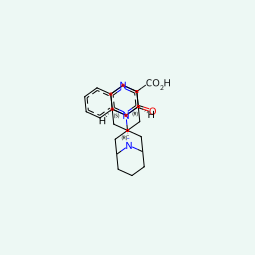 O=C(O)c1nc2ccccc2n(C2CC3CCCC(C2)N3[C@H]2C[C@@H]3CCC[C@@H](C3)C2)c1=O